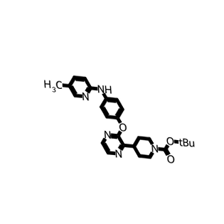 Cc1ccc(Nc2ccc(Oc3nccnc3C3CCN(C(=O)OC(C)(C)C)CC3)cc2)nc1